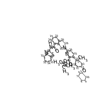 Cc1cc(OC2CCCCC2)ccc1-c1ccc(N2CCc3cccc(C(=O)Nc4nc5ccccc5s4)c3C2)nc1C(=O)OC(C)(C)C